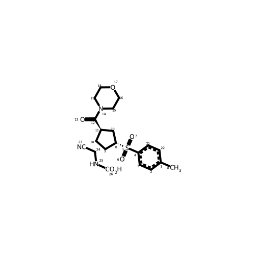 Cc1ccc(S(=O)(=O)[C@@H]2CC[C@@H](C(=O)N3CCOCC3)C2)cc1.N#CCNC(=O)O